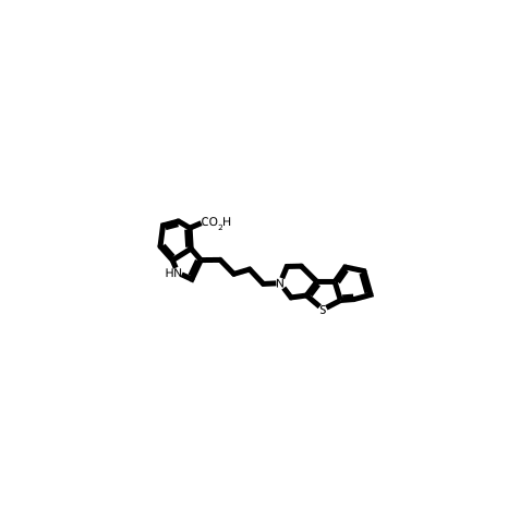 O=C(O)c1cccc2[nH]cc(CCCCN3CCc4c(sc5ccccc45)C3)c12